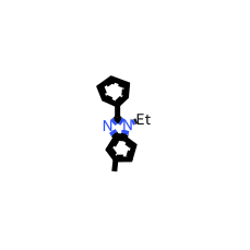 CCn1c(-c2ccccc2)nc2cc(C)ccc21